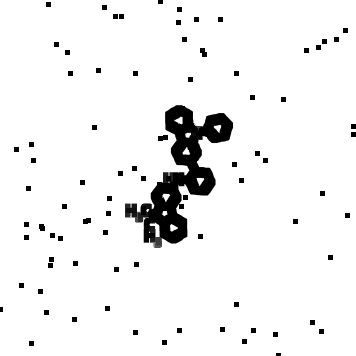 CC1(C)c2ccccc2-c2cc(Nc3ccccc3-c3ccc4c5ccccc5n(-c5ccccc5)c4c3)ccc21